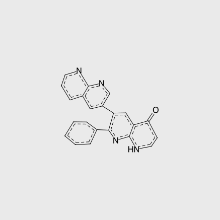 O=c1cc[nH]c2nc(-c3ccccc3)c(-c3cnc4ncccc4c3)cc12